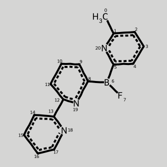 Cc1cccc(B(F)c2cccc(-c3ccccn3)n2)n1